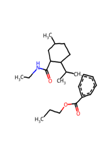 CCCOC(=O)c1ccccc1.CCNC(=O)C1CC(C)CCC1C(C)C